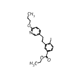 CCCOc1ccc(CCc2cc(C(=O)OCC)ccc2I)cn1